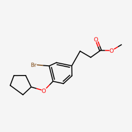 COC(=O)CCc1ccc(OC2CCCC2)c(Br)c1